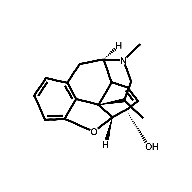 CC1CN(C)[C@@H]2Cc3cccc4c3[C@@]13C2C=C[C@H](O)[C@@H]3O4